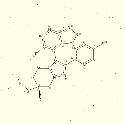 C[C@@]1(CF)CCc2c(-c3c(F)cnc4[nH]ncc34)c(-c3ccc(F)cn3)nn2C1